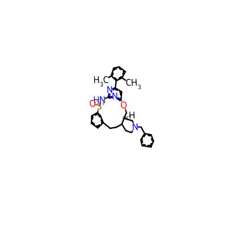 Cc1cccc(C)c1-c1cc2nc(n1)N[S+]([O-])c1cccc(c1)CCC1CCN(Cc3ccccc3)C[C@@H]1CO2